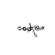 CC(C)(C)[Si](C)(C)O[C@@H]1CO[C@H]2[C@@H]1OC[C@H]2Oc1c(C#N)c2nc(-c3ccc(N4CCOCC4)cc3)c(F)cc2n1COCC[Si](C)(C)C